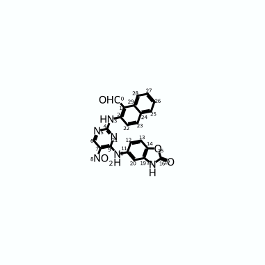 O=Cc1c(Nc2ncc([N+](=O)[O-])c(Nc3ccc4oc(=O)[nH]c4c3)n2)ccc2ccccc12